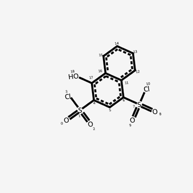 O=S(=O)(Cl)c1cc(S(=O)(=O)Cl)c2ccccc2c1O